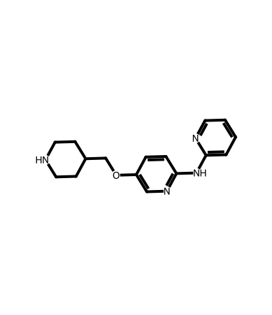 c1ccc(Nc2ccc(OCC3CCNCC3)cn2)nc1